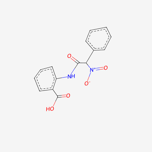 O=C(O)c1ccccc1NC(=O)C(c1ccccc1)[N+](=O)[O-]